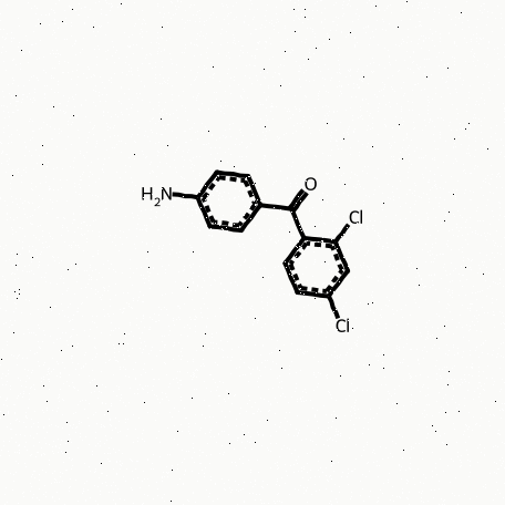 Nc1ccc(C(=O)c2ccc(Cl)cc2Cl)cc1